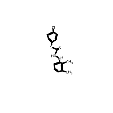 Cc1cccc(NNC(=S)Sc2ccc(Cl)cc2)c1C